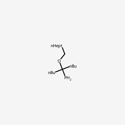 CCCCCCCCOC(P)(CCCC)CCCC